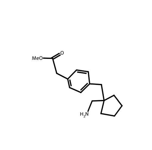 COC(=O)Cc1ccc(CC2(CN)CCCC2)cc1